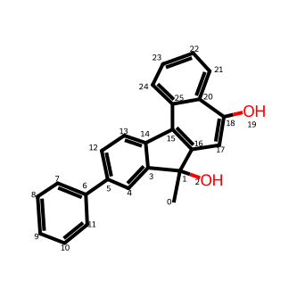 CC1(O)c2cc(-c3ccccc3)ccc2-c2c1cc(O)c1ccccc21